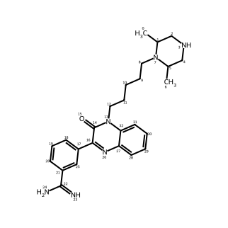 CC1CNCC(C)N1CCCCCn1c(=O)c(-c2cccc(C(=N)N)c2)nc2ccccc21